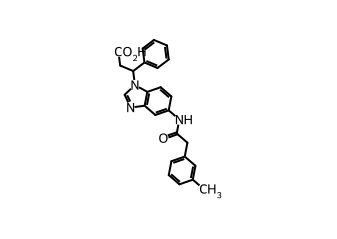 Cc1cccc(CC(=O)Nc2ccc3c(c2)ncn3C(CC(=O)O)c2ccccc2)c1